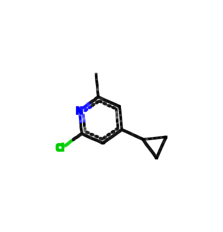 Cc1cc(C2CC2)cc(Cl)n1